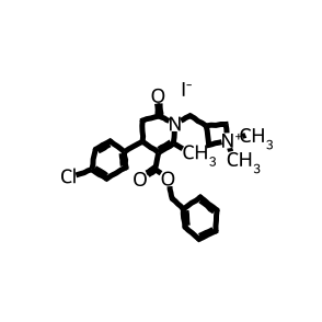 CC1=C(C(=O)OCc2ccccc2)C(c2ccc(Cl)cc2)CC(=O)N1CC1C[N+](C)(C)C1.[I-]